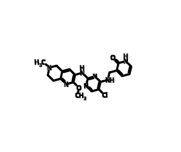 COc1nc2c(cc1Nc1ncc(Cl)c(NCc3ccc[nH]c3=O)n1)CN(C)CC2